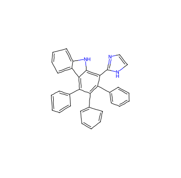 c1ccc(-c2c(-c3ccccc3)c(-c3ccccc3)c3c([nH]c4ccccc43)c2-c2ncc[nH]2)cc1